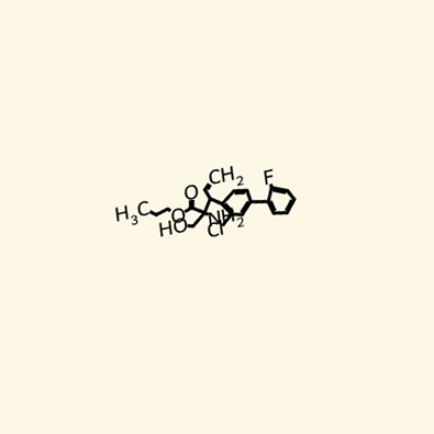 C=CC(c1ccc(-c2ccccc2F)cc1Cl)C(N)(CO)C(=O)OCCC